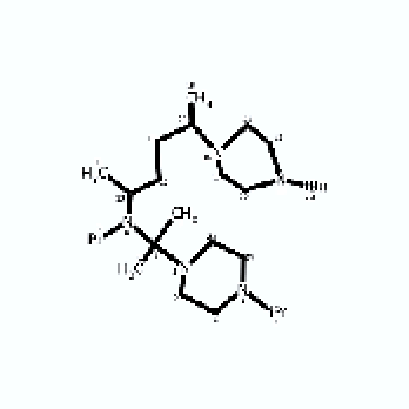 CC(C)N1CCN(C(C)(C)N(C(C)C)C(C)CCC(C)N2CCN(C(C)(C)C)CC2)CC1